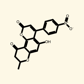 CC1CC(=O)c2c(cc(O)c3c(-c4ccc([N+](=O)[O-])cc4)cc(=O)oc23)O1